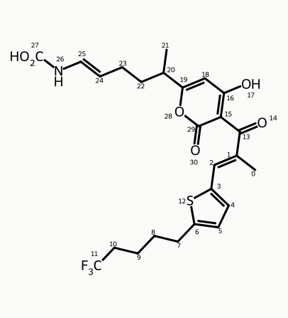 CC(=Cc1ccc(CCCCC(F)(F)F)s1)C(=O)c1c(O)cc(C(C)CCC=CNC(=O)O)oc1=O